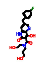 O=C(c1c(O)c2ncc(Cc3ccc(F)cc3)cc2[nH]c1=O)N(CCO)CCCO